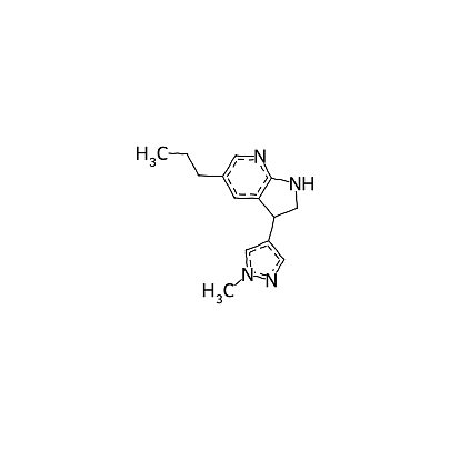 CCCc1cnc2c(c1)C(c1cnn(C)c1)CN2